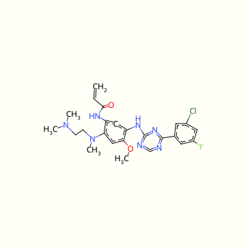 C=CC(=O)Nc1cc(Nc2ncnc(-c3cc(F)cc(Cl)c3)n2)c(OC)cc1N(C)CCN(C)C